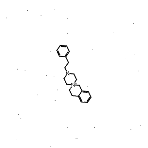 c1ccc(CCN2CC[N+]3(CCc4ccccc4C3)CC2)cc1